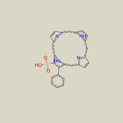 O=S(=O)(O)c1c(-c2ccccc2)c2cc3nc(cc4ccc(cc5nc(cc1[nH]2)C=C5)[nH]4)C=C3